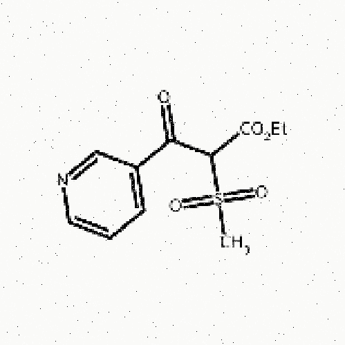 CCOC(=O)C(C(=O)c1cccnc1)S(C)(=O)=O